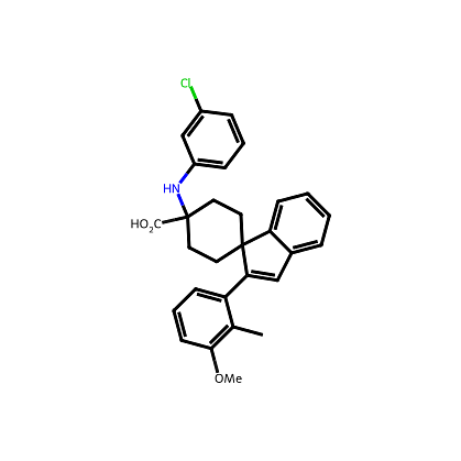 COc1cccc(C2=Cc3ccccc3C23CCC(Nc2cccc(Cl)c2)(C(=O)O)CC3)c1C